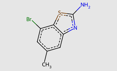 Cc1cc(Br)c2sc(N)nc2c1